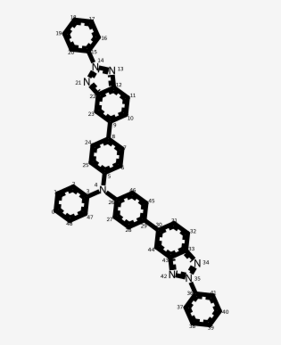 c1ccc(N(c2ccc(-c3ccc4nn(-c5ccccc5)nc4c3)cc2)c2ccc(-c3ccc4nn(-c5ccccc5)nc4c3)cc2)cc1